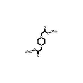 COOC(=O)CN1CCN(CC(=O)OOC)CC1